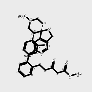 COc1cc2c(cn1)CO[C@@]21CCN(C(=O)O)C[C@@H]1c1ccc(-c2ccccc2CCC(=O)CC(=O)OC(C)(C)C)cc1C